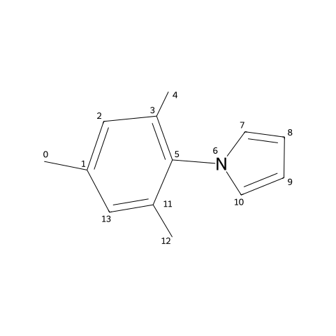 Cc1cc(C)c(-n2cccc2)c(C)c1